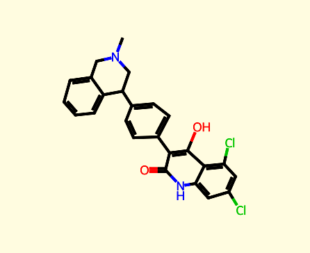 CN1Cc2ccccc2C(c2ccc(-c3c(O)c4c(Cl)cc(Cl)cc4[nH]c3=O)cc2)C1